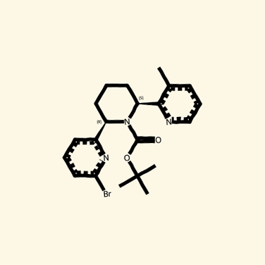 Cc1cccnc1[C@@H]1CCC[C@H](c2cccc(Br)n2)N1C(=O)OC(C)(C)C